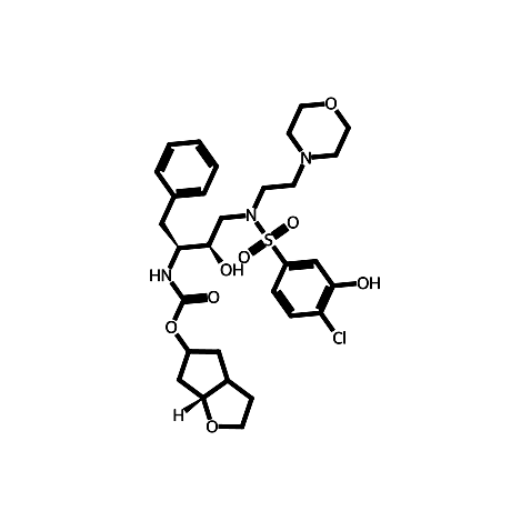 O=C(N[C@@H](Cc1ccccc1)[C@H](O)CN(CCN1CCOCC1)S(=O)(=O)c1ccc(Cl)c(O)c1)OC1CC2CCO[C@@H]2C1